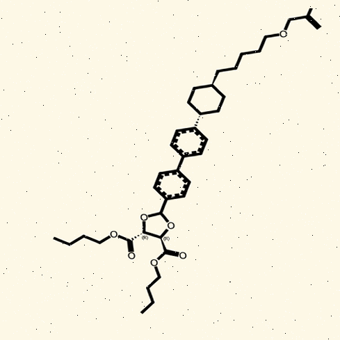 C=C(C)COCCCCC[C@H]1CC[C@H](c2ccc(-c3ccc(C4O[C@@H](C(=O)OCCCC)[C@H](C(=O)OCCCC)O4)cc3)cc2)CC1